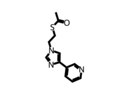 CC(=O)SCCn1cnc(-c2cccnc2)c1